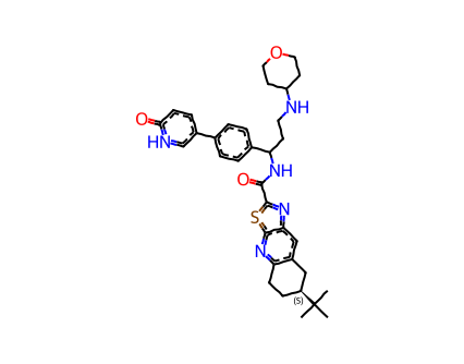 CC(C)(C)[C@H]1CCc2nc3sc(C(=O)NC(CCNC4CCOCC4)c4ccc(-c5ccc(=O)[nH]c5)cc4)nc3cc2C1